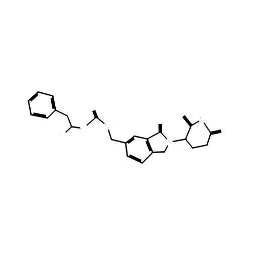 CCC(Cc1ccccc1)OC(=O)NCc1ccc2c(c1)C(=O)N(C1CCC(=O)NC1=O)C2